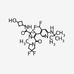 CC1CC(F)(F)CN1C(=O)c1nc(C(=O)NC2CC(O)C2)sc1-c1cnc(NC(C)(C)C)cc1C(F)F